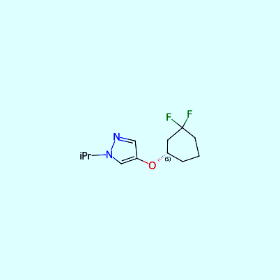 CC(C)n1cc(O[C@H]2CCCC(F)(F)C2)cn1